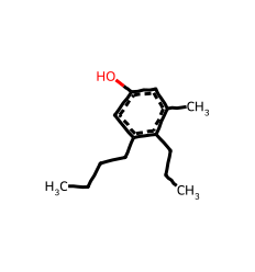 CCCCc1cc(O)cc(C)c1CCC